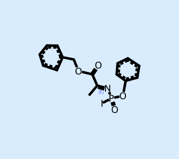 C/C(=N\P(=O)(I)Oc1ccccc1)C(=O)OCc1ccccc1